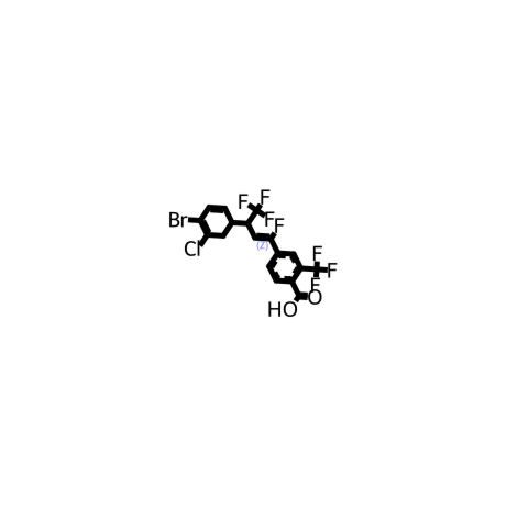 O=C(O)c1ccc(/C(F)=C/C(C2C=CC(Br)=C(Cl)C2)C(F)(F)F)cc1C(F)(F)F